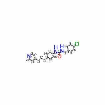 O=C(NCc1ccc(Cl)cc1)Nc1ccc(CCCc2ccncc2)cc1